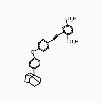 O=C(O)c1ccc(C(=O)O)c(C#Cc2ccc(Oc3ccc(C45CC6CC(CC(C6)C4)C5)cc3)cc2)c1